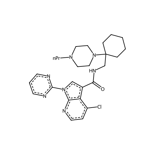 CCCN1CCN(C2(CNC(=O)c3cn(-c4ncccn4)c4nccc(Cl)c34)CCCCC2)CC1